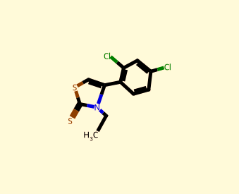 CCn1c(-c2ccc(Cl)cc2Cl)csc1=S